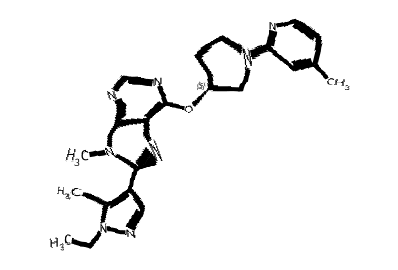 CCn1ncc(-c2nc3c(O[C@H]4CCN(c5cc(C)ccn5)C4)ncnc3n2C)c1C